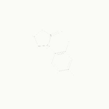 O=C1CCCN1c1ccc(F)cc1F